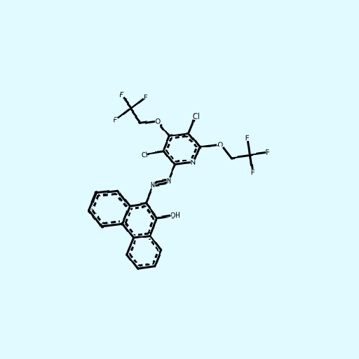 Oc1c(N=Nc2nc(OCC(F)(F)F)c(Cl)c(OCC(F)(F)F)c2Cl)c2ccccc2c2ccccc12